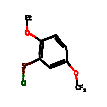 CCOc1ccc(OC(F)(F)F)cc1SCl